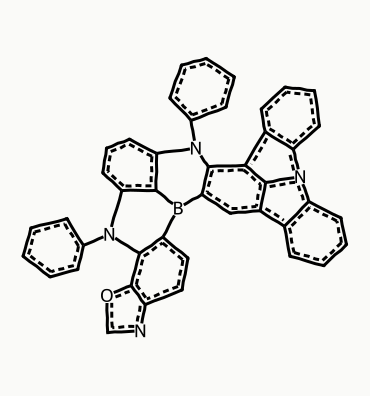 c1ccc(N2c3cccc4c3B(c3ccc5ncoc5c32)c2cc3c5ccccc5n5c6ccccc6c(c2N4c2ccccc2)c35)cc1